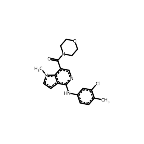 Cc1ccc(Nc2ncc(C(=O)N3CCOCC3)c3c2ccn3C)cc1Cl